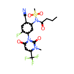 CCCC(=O)N(c1cc(-n2c(=O)cc(C(F)(F)F)n(C)c2=O)c(F)cc1C#N)S(C)(=O)=O